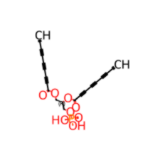 C#CC#CC#CC#CC(=O)OC[C@H](COP(=O)(O)O)OC(=O)C#CC#CC#CC#C